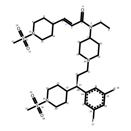 CCN(C(=O)/C=C/C1CCN(S(C)(=O)=O)CC1)C1CCN(CC[C@@H](c2cc(F)cc(F)c2)C2CCN(S(C)(=O)=O)CC2)CC1